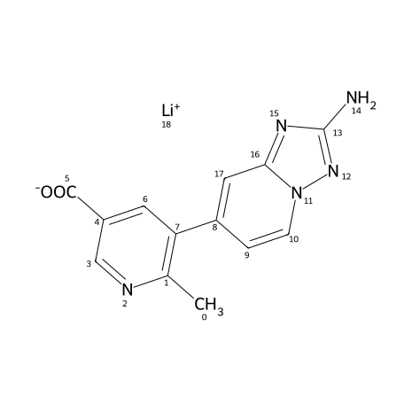 Cc1ncc(C(=O)[O-])cc1-c1ccn2nc(N)nc2c1.[Li+]